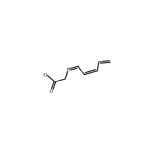 C=C/C=C\C=N/CC(=O)Cl